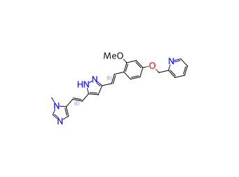 COc1cc(OCc2ccccn2)ccc1/C=C/c1cc(/C=C/c2cncn2C)[nH]n1